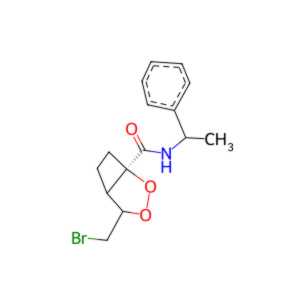 CC(NC(=O)[C@@]12CCC1C(CBr)OO2)c1ccccc1